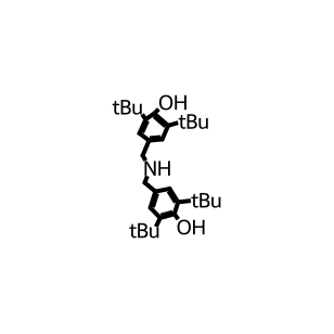 CC(C)(C)c1cc(CNCc2cc(C(C)(C)C)c(O)c(C(C)(C)C)c2)cc(C(C)(C)C)c1O